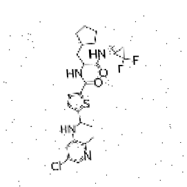 Cc1ncc(Cl)cc1NC(C)c1ccc(C(=O)NC(CC2CCCC2)C(=O)N[C@@H]2CC2(F)F)s1